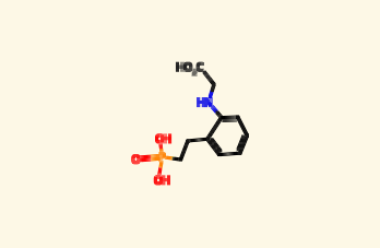 O=C(O)CNc1ccccc1CCP(=O)(O)O